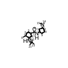 Cc1ccc(C(=O)Nc2cccc(N(C)C)c2)cc1NC(C)(C)C